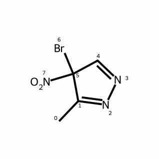 CC1=NN=CC1(Br)[N+](=O)[O-]